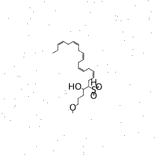 CC/C=C\C/C=C\C/C=C\C/C=C\C/C=C\CC(C(O)CCCOC)[SH](=O)=O